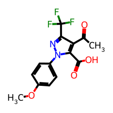 COc1ccc(-n2nc(C(F)(F)F)c(C(C)=O)c2C(=O)O)cc1